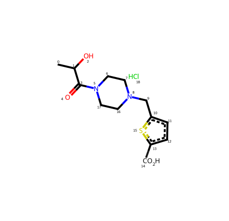 CC(O)C(=O)N1CCN(Cc2ccc(C(=O)O)s2)CC1.Cl